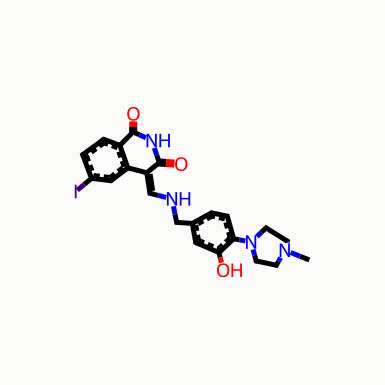 CN1CCN(c2ccc(CNC=C3C(=O)NC(=O)c4ccc(I)cc43)cc2O)CC1